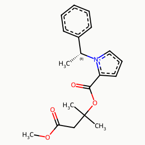 COC(=O)CC(C)(C)OC(=O)c1cccn1[C@H](C)c1ccccc1